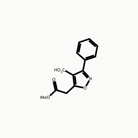 COC(=O)Cc1onc(-c2ccccc2)c1C(=O)O